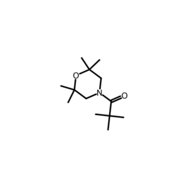 CC1(C)CN(C(=O)C(C)(C)C)CC(C)(C)O1